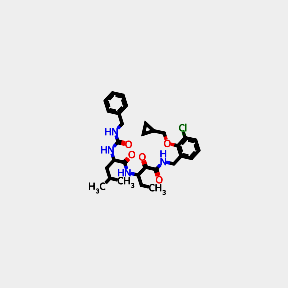 CCC(NC(=O)C(CC(C)C)NC(=O)NCc1ccccc1)C(=O)C(=O)NCc1cccc(Cl)c1OCC1CC1